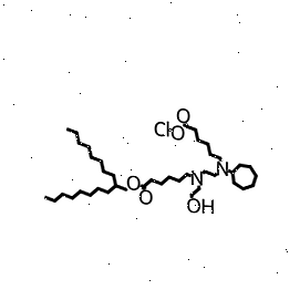 CCCCCCCCC(CCCCCCCC)COC(=O)CCCCCN(CCO)CCN(CCCCCC(=O)OCl)C1CCCCCC1